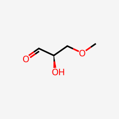 COC[C@@H](O)C=O